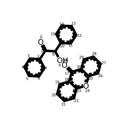 O=C(c1ccccc1)C(O)c1ccccc1.O=c1c2ccccc2oc2ccccc12